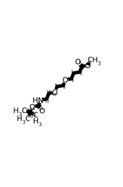 COC(=O)CCCOCCOCCNC(=O)OC(C)(C)C